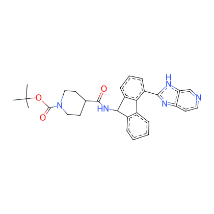 CC(C)(C)OC(=O)N1CCC(C(=O)NC2c3ccccc3-c3c(-c4nc5ccncc5[nH]4)cccc32)CC1